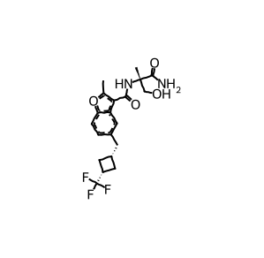 Cc1oc2ccc(C[C@H]3C[C@@H](C(F)(F)F)C3)cc2c1C(=O)N[C@@](C)(CO)C(N)=O